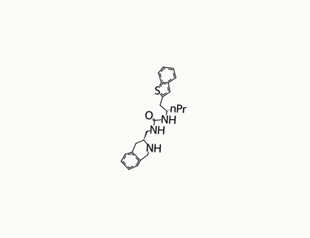 CCC[C@@H](Cc1cc2ccccc2s1)NC(=O)NC[C@@H]1Cc2ccccc2CN1